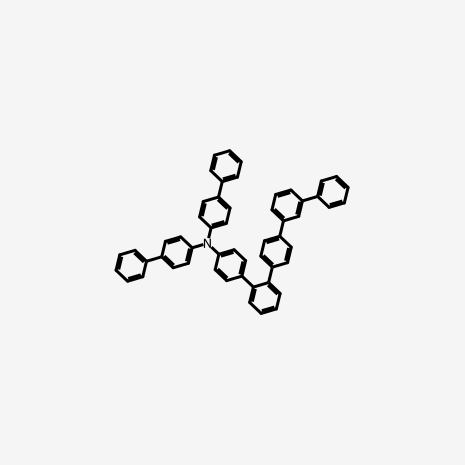 c1ccc(-c2ccc(N(c3ccc(-c4ccccc4)cc3)c3ccc(-c4ccccc4-c4ccc(-c5cccc(-c6ccccc6)c5)cc4)cc3)cc2)cc1